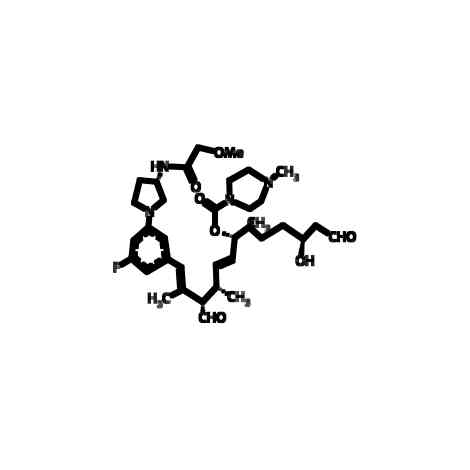 COCC(=O)N[C@H]1CCN(c2cc(F)cc(/C=C(\C)[C@@H](C=O)[C@@H](C)/C=C/[C@H](OC(=O)N3CCN(C)CC3)[C@H](C)CC[C@H](O)CC=O)c2)C1